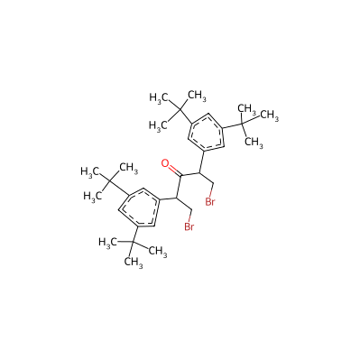 CC(C)(C)c1cc(C(CBr)C(=O)C(CBr)c2cc(C(C)(C)C)cc(C(C)(C)C)c2)cc(C(C)(C)C)c1